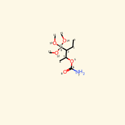 CCC(C(C)OC(N)=O)[Si](OC)(OC)OC